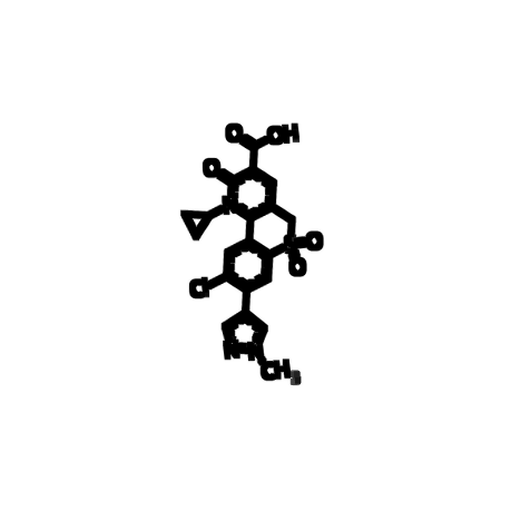 Cn1cc(-c2cc3c(cc2Cl)-c2c(cc(C(=O)O)c(=O)n2C2CC2)CS3(=O)=O)cn1